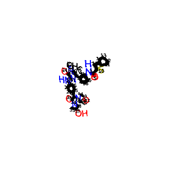 Cc1c(NC(=O)c2cc3c(s2)CCCC3)cccc1-c1cn(C)c(=O)c(Nc2ccc(C(C(=O)N3CC(O)C3)N3CCOCC3)cc2)n1